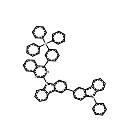 c1ccc(-n2c3ccccc3c3cc(-c4ccc5c(c4)c4ccccc4n5-c4nc(-c5cccc([Si](c6ccccc6)(c6ccccc6)c6ccccc6)c5)c5ccccc5n4)ccc32)cc1